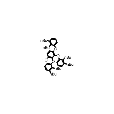 CCCCc1cccc(Oc2ccc(O)c(Oc3cccc(CCCC)c3CCCC)c2Oc2cccc(CCCC)c2CCCC)c1CCCC